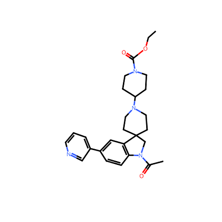 CCOC(=O)N1CCC(N2CCC3(CC2)CN(C(C)=O)c2ccc(-c4cccnc4)cc23)CC1